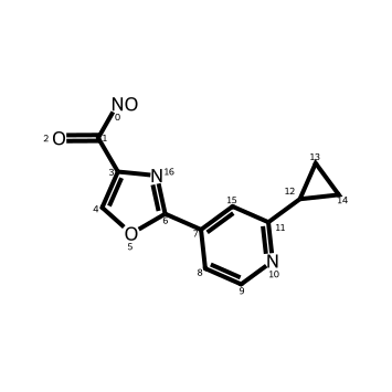 O=NC(=O)c1coc(-c2ccnc(C3CC3)c2)n1